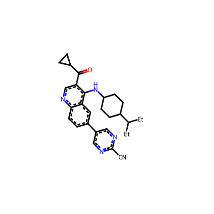 CCC(CC)C1CCC(Nc2c(C(=O)C3CC3)cnc3ccc(-c4cnc(C#N)nc4)cc23)CC1